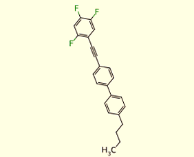 CCCCc1ccc(-c2ccc(C#Cc3cc(F)c(F)cc3F)cc2)cc1